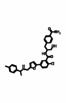 Cc1ccc(C(C)NCc2ccc(-c3ccc(Cl)c(C(=O)NC(CO)Cc4ccc(C(N)=O)cc4)c3)o2)cc1